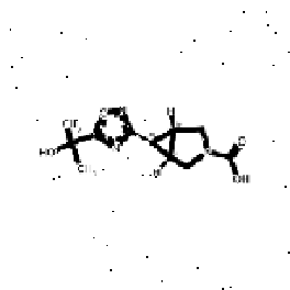 CC(C)(O)c1nc([C@H]2[C@@H]3CN(C(=O)O)C[C@@H]32)no1